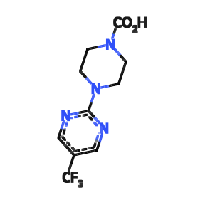 O=C(O)N1CCN(c2ncc(C(F)(F)F)cn2)CC1